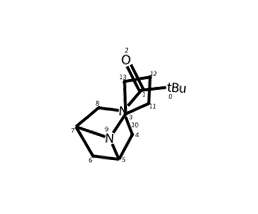 CC(C)(C)C(=O)N1CC2CC(C1)N2C1CCC1